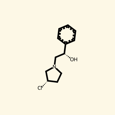 O[C@H](CN1CC[C@H](Cl)C1)c1ccccc1